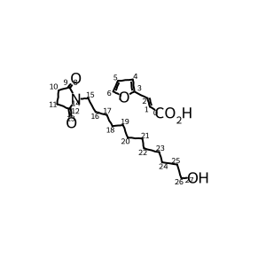 O=C(O)C=Cc1ccco1.O=C1CCC(=O)N1CCCCCCCCCCCCO